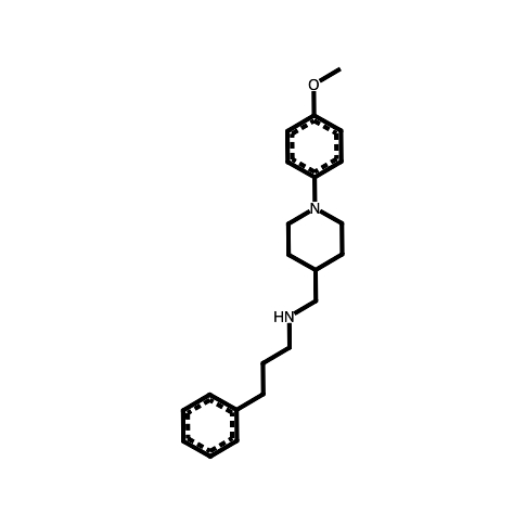 COc1ccc(N2CCC(CNCCCc3ccccc3)CC2)cc1